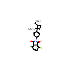 CCOC(=O)C1(c2ccc(N3C(=O)c4c(F)ccc(F)c4C3=O)cc2)CCC1COC